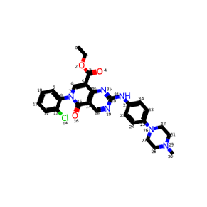 CCOC(=O)c1cn(-c2ccccc2Cl)c(=O)c2cnc(Nc3ccc(N4CCN(C)CC4)cc3)nc12